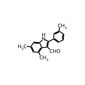 Cc1cccc(-c2[nH]c3cc(C)cc(C)c3c2C=O)c1